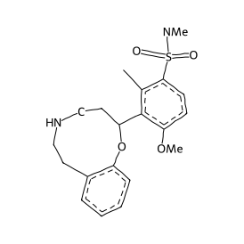 CNS(=O)(=O)c1ccc(OC)c(C2CCNCCc3ccccc3O2)c1C